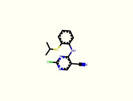 CC(C)Sc1ccccc1Nc1nc(Cl)ncc1C#N